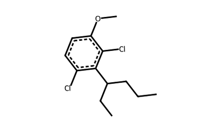 CCCC(CC)c1c(Cl)ccc(OC)c1Cl